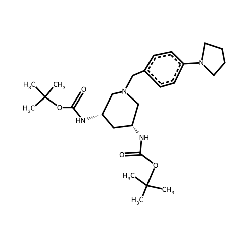 CC(C)(C)OC(=O)N[C@@H]1C[C@H](NC(=O)OC(C)(C)C)CN(Cc2ccc(N3CCCC3)cc2)C1